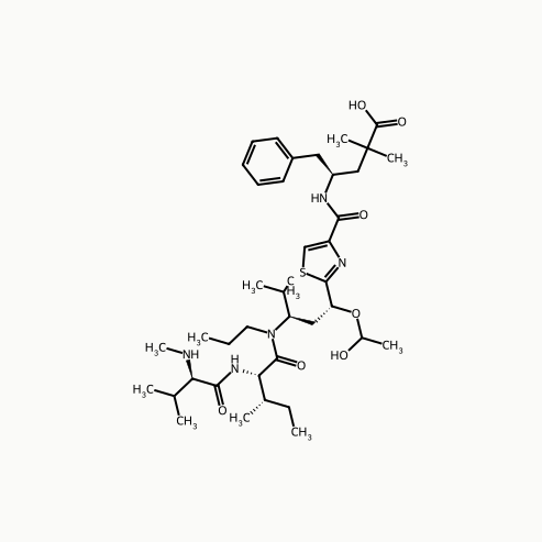 CCCN(C(=O)[C@@H](NC(=O)[C@H](NC)C(C)C)[C@@H](C)CC)[C@H](C[C@@H](OC(C)O)c1nc(C(=O)N[C@@H](Cc2ccccc2)CC(C)(C)C(=O)O)cs1)C(C)C